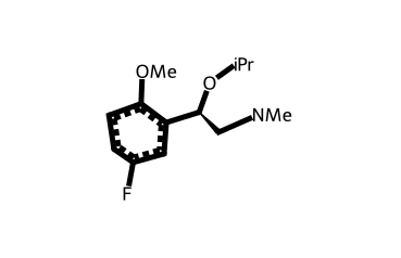 CNC[C@H](OC(C)C)c1cc(F)ccc1OC